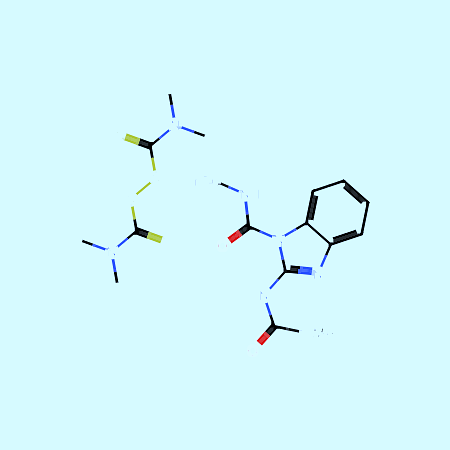 CCCCNC(=O)n1c(NC(=O)OC)nc2ccccc21.CN(C)C(=S)SSC(=S)N(C)C